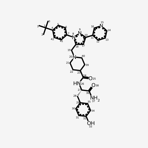 CC(C)(C)c1ccc(-n2nc(-c3cccnc3)cc2CN2CCC(C(=O)N[C@@H](Cc3ccc(O)cc3)C(N)=O)CC2)cc1